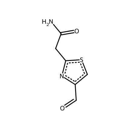 NC(=O)Cc1nc(C=O)cs1